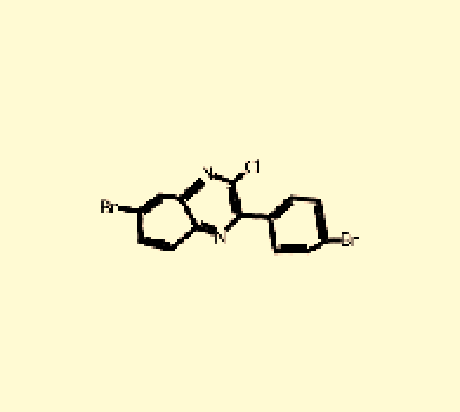 Clc1nc2cc(Br)ccc2nc1-c1ccc(Br)cc1